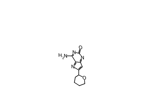 NC1=NC(=O)N=C2C=C(C3CCCCO3)N=C12